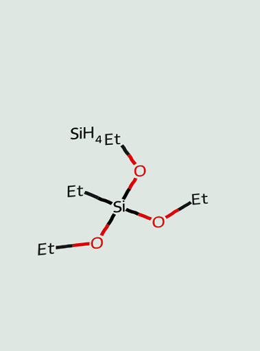 CCO[Si](CC)(OCC)OCC.[SiH4]